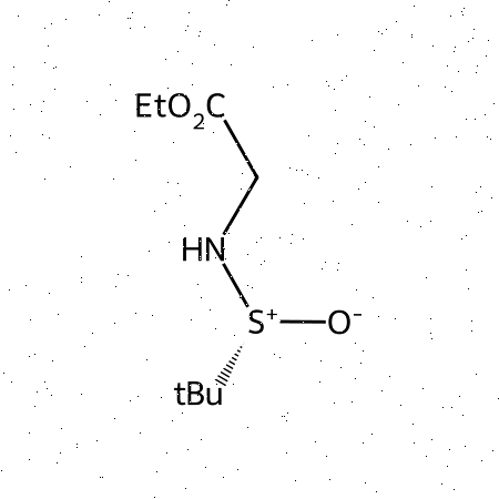 CCOC(=O)CN[S@+]([O-])C(C)(C)C